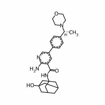 C[C@H](c1ccc(-c2cnc(N)c(C(=O)NC34CC5CC(CC(O)(C5)C3)C4)c2)cc1)N1CCOCC1